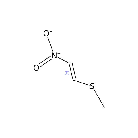 CS/C=C/[N+](=O)[O-]